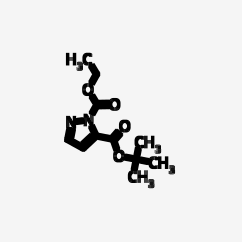 CCOC(=O)n1nccc1C(=O)OC(C)(C)C